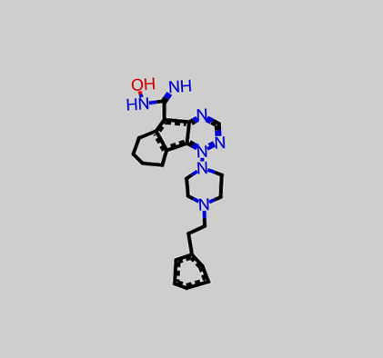 N=C(NO)c1c2ncnn(N3CCN(CCc4ccccc4)CC3)c-2c2c1CCCC2